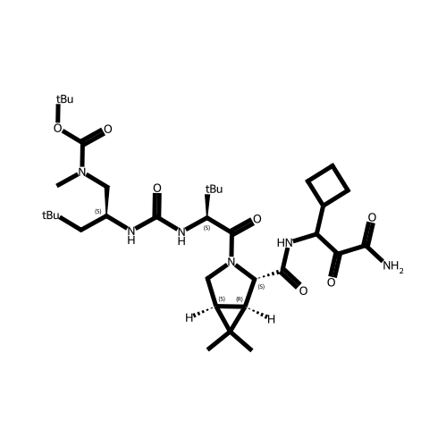 CN(C[C@H](CC(C)(C)C)NC(=O)N[C@H](C(=O)N1C[C@H]2[C@@H]([C@H]1C(=O)NC(C(=O)C(N)=O)C1CCC1)C2(C)C)C(C)(C)C)C(=O)OC(C)(C)C